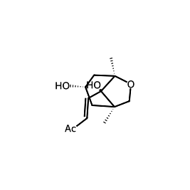 CC(=O)/C=C/[C@]1(O)[C@@]2(C)CO[C@]1(C)C[C@@H](O)C2